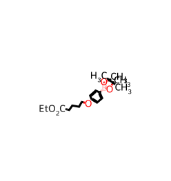 CCOC(=O)CCCCOc1ccc(B2OC(C)(C)C(C)(C)O2)cc1